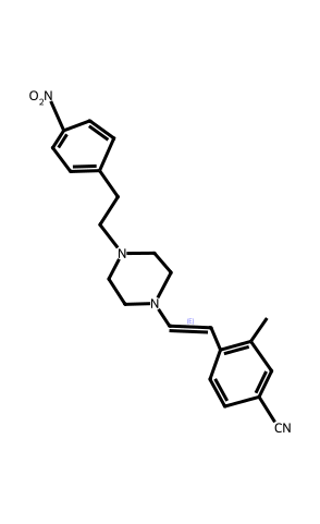 Cc1cc(C#N)ccc1/C=C/N1CCN(CCc2ccc([N+](=O)[O-])cc2)CC1